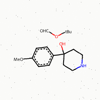 CC(C)(C)OC=O.COc1ccc(C2(O)CCNCC2)cc1